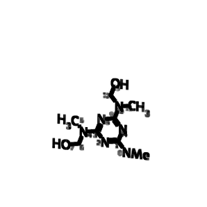 CNc1nc(N(C)CO)nc(N(C)CO)n1